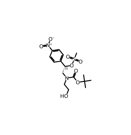 CC(C)(C)OC(=O)N(CCO)C[C@@H](OS(C)(=O)=O)c1ccc([N+](=O)[O-])cc1